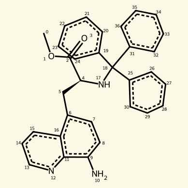 COC(=O)[C@H](Cc1ccc(N)c2ncccc12)NC(c1ccccc1)(c1ccccc1)c1ccccc1